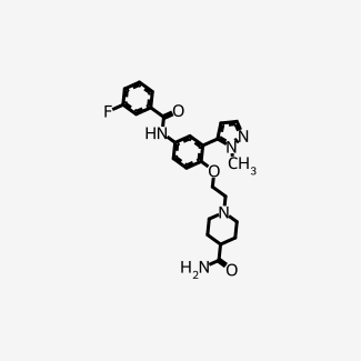 Cn1nccc1-c1cc(NC(=O)c2cccc(F)c2)ccc1OCCN1CCC(C(N)=O)CC1